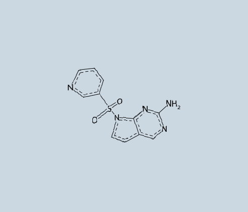 Nc1ncc2ccn(S(=O)(=O)c3cccnc3)c2n1